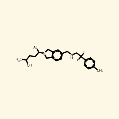 CC(=O)C(CCC(C)O)N1Cc2ccc(CNCC(F)(F)c3ccc(C)cc3)cc2C1